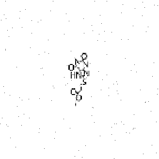 CCOC(=O)CCSc1nc2c([nH]1)c(=O)n(C)c(=O)n2C